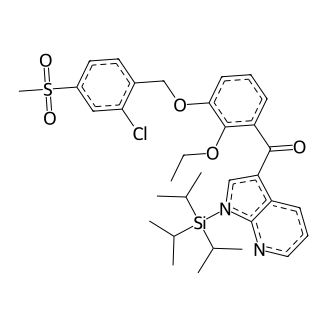 CCOc1c(OCc2ccc(S(C)(=O)=O)cc2Cl)cccc1C(=O)c1cn([Si](C(C)C)(C(C)C)C(C)C)c2ncccc12